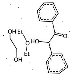 CCOCC.O=C(c1ccccc1)C(O)c1ccccc1.OCCO